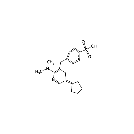 CN(C)C1=C(Cc2ccc(S(C)(=O)=O)cc2)CC(=C2CCCC2)C=N1